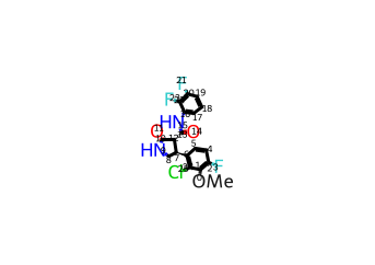 COc1c(F)ccc([C@H]2CNC(=O)[C@@H]2C(=O)Nc2cccc(F)c2F)c1Cl